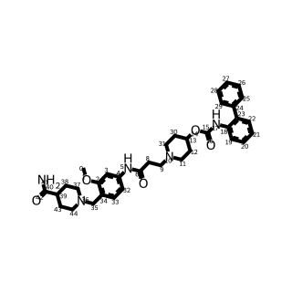 COc1cc(NC(=O)CCN2CCC(OC(=O)Nc3ccccc3-c3ccccc3)CC2)ccc1CN1CCC(C(N)=O)CC1